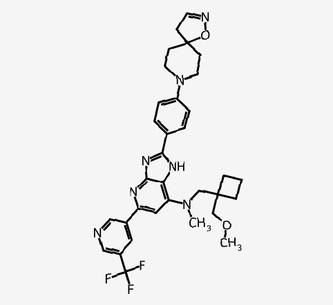 COCC1(CN(C)c2cc(-c3cncc(C(F)(F)F)c3)nc3nc(-c4ccc(N5CCC6(CC=NO6)CC5)cc4)[nH]c23)CCC1